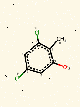 Cc1c([O])cc(Cl)cc1Cl